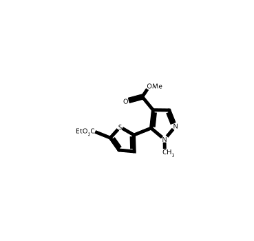 CCOC(=O)c1ccc(-c2c(C(=O)OC)cnn2C)s1